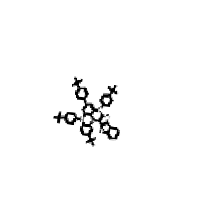 CC(C)(C)c1ccc(-c2cc3c4c(c2)N(c2ccc(C(C)(C)C)cc2)c2oc5c(oc6ccccc65)c2B4c2cc(C(C)(C)C)ccc2N3c2ccc(C(C)(C)C)cc2)cc1